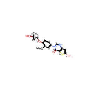 Bc1cc2ncn(-c3ccc(OCC(C)(C)O)c(OC)c3)c(=O)c2s1